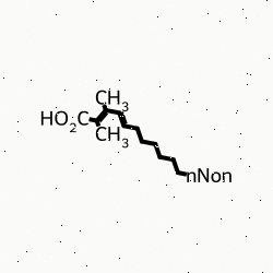 CCCCCCCCCCCCCCCC=CC(C)=C(C)C(=O)O